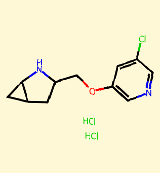 Cl.Cl.Clc1cncc(OCC2CC3CC3N2)c1